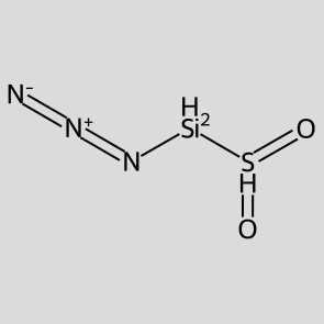 [N-]=[N+]=N[SiH2][SH](=O)=O